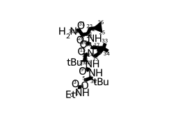 CCNC(=O)OC[C@H](NC(=O)N[C@H](C(=O)N1CC2C([C@H]1C(=O)NC(CC1CC1)C(=O)C(N)=O)C2(C)C)C(C)(C)C)C(C)(C)C